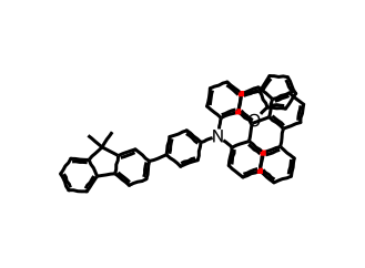 CC1(C)c2ccccc2-c2ccc(-c3ccc(N(c4ccccc4-c4cccc5cccc(-c6ccccc6)c45)c4cccc5c4oc4ccccc45)cc3)cc21